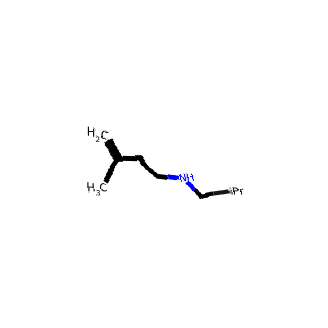 C=C(C)CCNCC(C)C